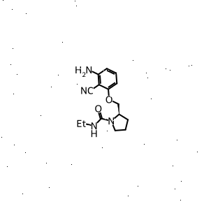 CCNC(=O)N1CCC[C@@H]1COc1cccc(N)c1C#N